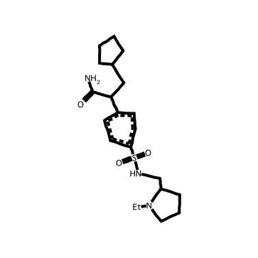 CCN1CCCC1CNS(=O)(=O)c1ccc(C(CC2CCCC2)C(N)=O)cc1